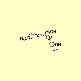 CN1CCC(NC(=O)/C=C/c2ccc(O)c3oc(-c4ccc(O)c(O)c4)cc23)CC1